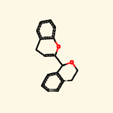 C1=C([C]2OCCc3ccccc32)Oc2ccccc2C1